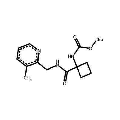 Cc1cccnc1CNC(=O)C1(NC(=O)OC(C)(C)C)CCC1